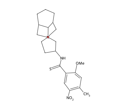 COc1cc(C)c([N+](=O)[O-])cc1C(=S)NC1CCN(C2C3CCCC2CCC3)C1